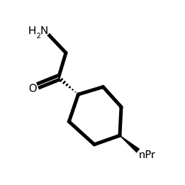 CCC[C@H]1CC[C@H](C(=O)CN)CC1